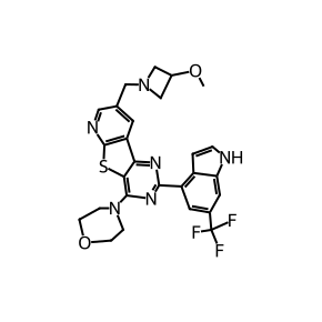 COC1CN(Cc2cnc3sc4c(N5CCOCC5)nc(-c5cc(C(F)(F)F)cc6[nH]ccc56)nc4c3c2)C1